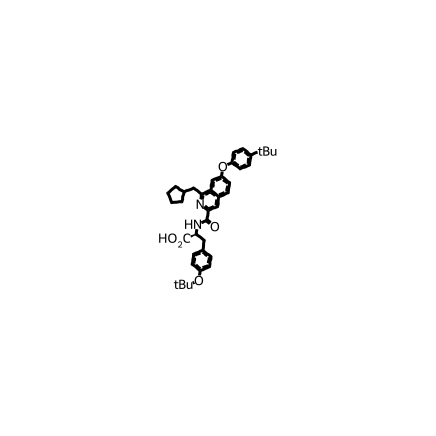 CC(C)(C)Oc1ccc(C[C@H](NC(=O)c2cc3ccc(Oc4ccc(C(C)(C)C)cc4)cc3c(CC3CCCC3)n2)C(=O)O)cc1